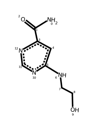 NC(=O)c1cc(NCCO)ncn1